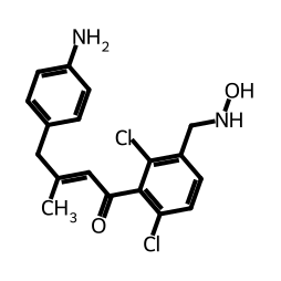 C/C(=C\C(=O)c1c(Cl)ccc(CNO)c1Cl)Cc1ccc(N)cc1